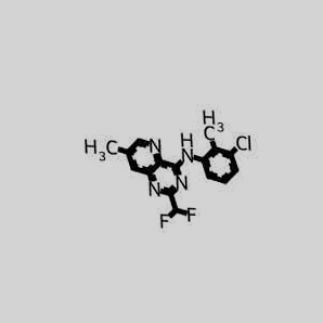 Cc1cnc2c(Nc3cccc(Cl)c3C)nc(C(F)F)nc2c1